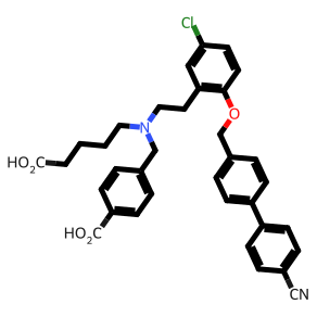 N#Cc1ccc(-c2ccc(COc3ccc(Cl)cc3CCN(CCCCC(=O)O)Cc3ccc(C(=O)O)cc3)cc2)cc1